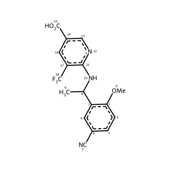 COc1ccc(C#N)cc1C(C)Nc1ncc(C(=O)O)cc1C(F)(F)F